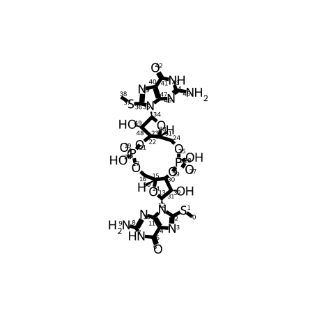 CSc1nc2c(=O)[nH]c(N)nc2n1[C@@H]1O[C@@H]2COP(=O)(O)OC3[C@@H](COP(=O)(O)OC2[C@@H]1O)O[C@@H](n1c(SC)nc2c(=O)[nH]c(N)nc21)[C@H]3O